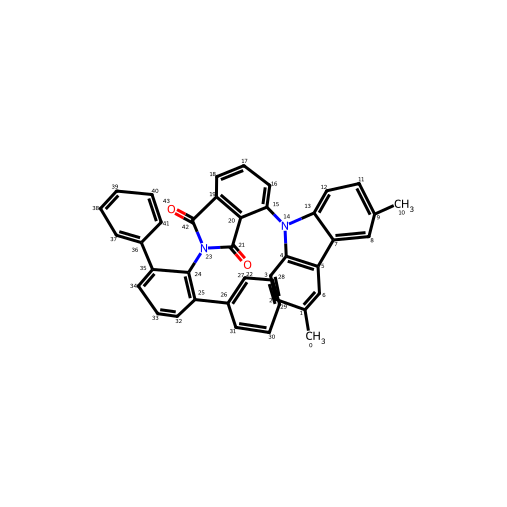 Cc1ccc2c(c1)c1cc(C)ccc1n2-c1cccc2c1C(=O)N(c1c(-c3ccccc3)cccc1-c1ccccc1)C2=O